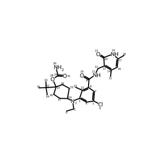 CCN(c1cc(Cl)cc(C(=O)NCc2c(C)cc(C)[nH]c2=O)c1C)C1CCC(OC(N)=O)(C(C)(C)C)CC1